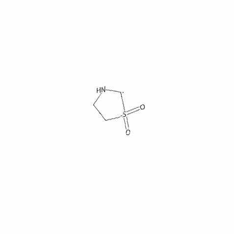 O=S1(=O)[CH]NCC1